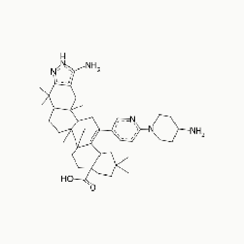 CC1(C)CCC2(C(=O)O)CCC3(C)C(=C(c4ccc(N5CCC(N)CC5)nc4)CC4C5(C)Cc6c(n[nH]c6N)C(C)(C)C5CCC43C)C2C1